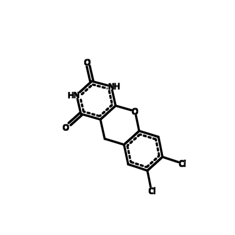 O=c1[nH]c2c(c(=O)[nH]1)Cc1cc(Cl)c(Cl)cc1O2